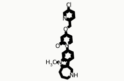 Cn1c2c(c3ccc(-n4ccc(OCc5ccc(Cl)cn5)cc4=O)cc31)CNCCC2